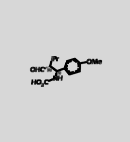 COc1ccc([C@@H](NC(=O)O)[C@H](C=O)C(C)C)cc1